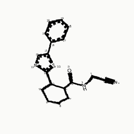 N#CCNC(=O)C1CCCCC1c1ncc(-c2ccccc2)s1